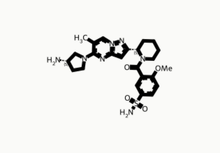 COc1ccc(S(N)(=O)=O)cc1C(=O)N1CCCC[C@H]1c1cc2nc(N3CC[C@H](N)C3)c(C)cn2n1